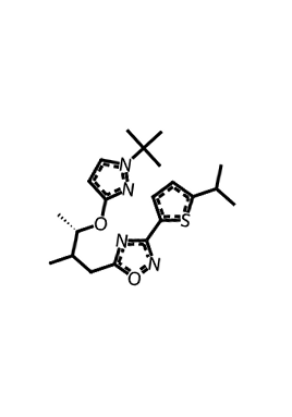 CC(C)c1ccc(-c2noc(CC(C)[C@H](C)Oc3ccn(C(C)(C)C)n3)n2)s1